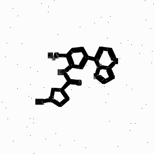 Cc1ccc(-c2ccnc3ccnn23)cc1NC(=O)[C@H]1CCN(C#N)C1